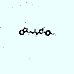 Cc1ccc(N2CC(C(=O)NCCNC3=NCc4ccccc43)CC2=O)cc1